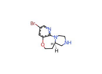 Brc1cnc2c(c1)OCC[C@@H]1CNCCN21